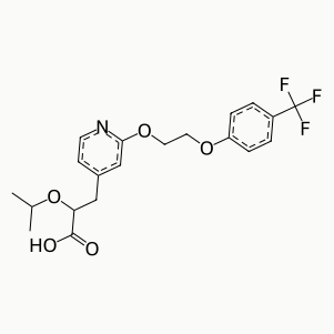 CC(C)OC(Cc1ccnc(OCCOc2ccc(C(F)(F)F)cc2)c1)C(=O)O